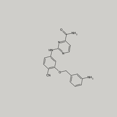 N#Cc1ccc(Nc2nccc(C(N)=O)n2)cc1OCc1cccc(N)c1